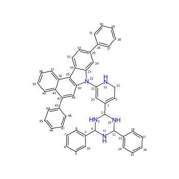 C1=C(C2NC(c3ccccc3)NC(c3ccccc3)N2)C=C(n2c3cc(-c4ccccc4)ccc3c3c4ccccc4c(-c4ccccc4)cc32)NC1